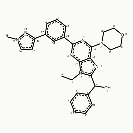 CCn1c(C(O)c2ccncc2)nc2c(N3CCOCC3)nc(-c3cccc(-c4ccn(C)n4)c3)nc21